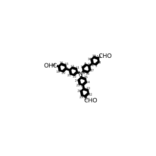 O=Cc1ccc(-c2ccc(N(c3ccc(-c4ccc(C=O)cc4)cc3)c3ccc(-c4ccc(C=O)cc4)cc3)cc2)cc1